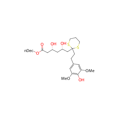 CCCCCCCCCCOC(=O)C[C@H](O)C[C@H](O)CC1(CCc2cc(OC)c(O)c(OC)c2)SCCCS1